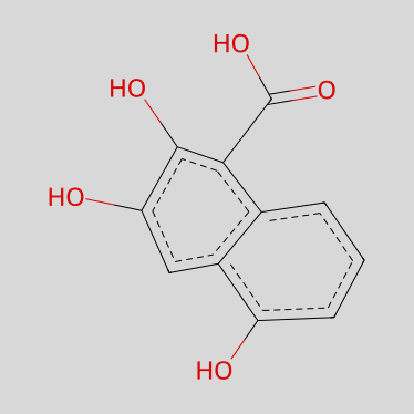 O=C(O)c1c(O)c(O)cc2c(O)cccc12